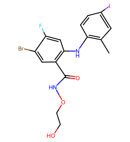 Cc1cc(I)ccc1Nc1cc(F)c(Br)cc1C(=O)NOCCO